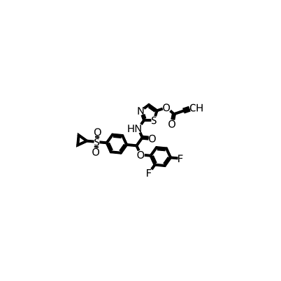 C#CC(=O)Oc1cnc(NC(=O)C(Oc2ccc(F)cc2F)c2ccc(S(=O)(=O)C3CC3)cc2)s1